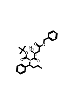 CCCC(c1ccccc1)N(C(=O)OC(C)(C)C)C(=O)[C@@H](N)CC(=O)OCc1ccccc1